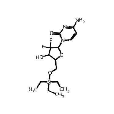 CC[Si](CC)(CC)OCC1OC(n2ccc(N)nc2=O)C(F)(F)C1O